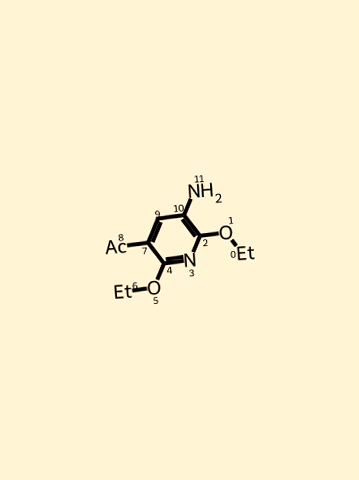 CCOc1nc(OCC)c(C(C)=O)cc1N